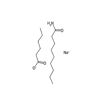 CCCCCC(=O)[O-].CCCCCCCCC(N)=O.[Na+]